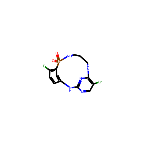 O=S1(=O)NCCCNc2nc(ncc2Br)Nc2ccc(F)c1c2